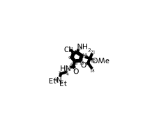 CCN(CC)CCNC(=O)c1cc(Cl)c(N)cc1OC(C)C(C)(C)OC